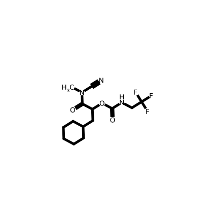 CN(C#N)C(=O)C(CC1CCCCC1)OC(=O)NCC(F)(F)F